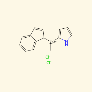 [CH2]=[Zr+2]([c]1ccc[nH]1)[CH]1C=Cc2ccccc21.[Cl-].[Cl-]